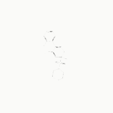 NC1(S(=O)(=O)N2CCOCC2)C=C(C(F)(F)F)C(c2ccccc2Cl)=CC1